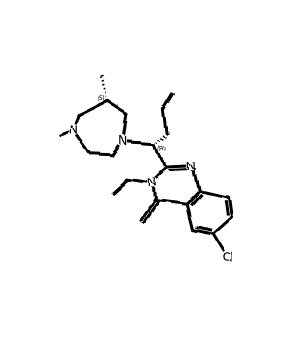 C=C1c2cc(Cl)ccc2N=C([C@@H](CCC)N2CCN(C)C[C@H](C)C2)N1CC